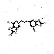 Nc1cc(CCCc2cc(N)c3[nH]c(=O)oc3c2)cc2oc(=O)[nH]c12